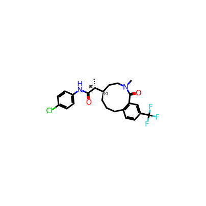 C[C@@H](C(=O)Nc1ccc(Cl)cc1)[C@@H]1CCCc2ccc(C(F)(F)F)cc2C(=O)N(C)CC1